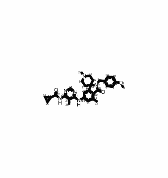 COc1ccc(CN2C(=O)c3c(C)cc(Nc4ncnc(NC(=O)C5CC5)c4C)cc3C23CCN(C)CC3)cc1